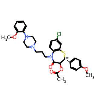 COc1ccc([C@H]2Sc3cc(Cl)ccc3N(CCCN3CCN(c4ccccc4OC)CC3)C(=O)C2OC(C)=O)cc1